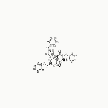 O=C1C(Cc2ccccc2)NC(=O)C2(CCN(CCc3ccccc3)CC2)N1C1CCN(Cc2ccccc2)C1